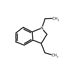 CCC1CN(CC)c2ccccc21